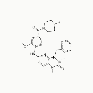 COc1cc(C(=O)N2CCC(F)CC2)ccc1Nc1ccc2c(n1)N(Cc1ccccc1)[C@H](C)C(=O)N2C